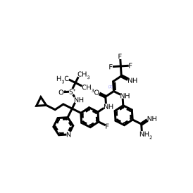 CC(C)(C)[S+]([O-])NC(CCC1CC1)(c1cccnc1)c1ccc(F)c(NC(=O)/C(=C/C(=N)C(F)(F)F)Nc2cccc(C(=N)N)c2)c1